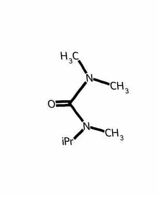 CC(C)N(C)C(=O)N(C)C